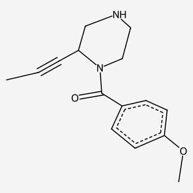 CC#CC1CNCCN1C(=O)c1ccc(OC)cc1